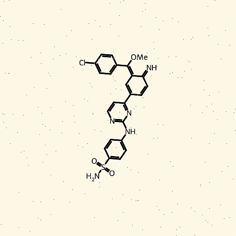 CO/C(=C1/C=C(c2ccnc(Nc3ccc(S(N)(=O)=O)cc3)n2)C=CC1=N)c1ccc(Cl)cc1